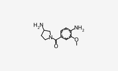 COc1cc(C(=O)N2CCC(N)C2)ccc1N